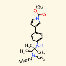 C=C(N(C)NC)C(C)(C)Nc1ccc(-c2ccn(C(=O)OC(C)(C)C)c2)cc1